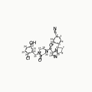 N#Cc1ccc(C2CCc3ncc(C(=O)N4CCN(Cc5cc(O)ccc5Cl)C(=O)C4)n32)cc1